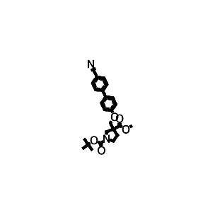 COC(=O)C1(COc2ccc(-c3ccc(C#N)cc3)cc2)CCN(C(=O)OC(C)(C)C)C1